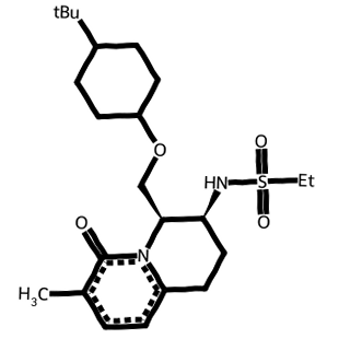 CCS(=O)(=O)N[C@H]1CCc2ccc(C)c(=O)n2[C@H]1COC1CCC(C(C)(C)C)CC1